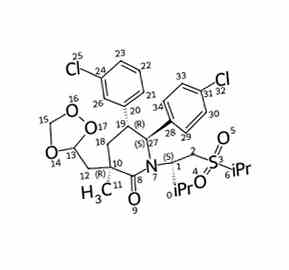 CC(C)[C@@H](CS(=O)(=O)C(C)C)N1C(=O)[C@@](C)(CC2OCOO2)C[C@H](c2cccc(Cl)c2)[C@H]1c1ccc(Cl)cc1